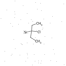 CCC([Si])(Cl)CC